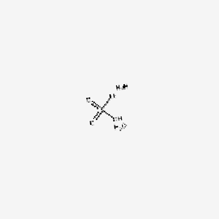 CCS(=O)(=O)O.O.[NaH]